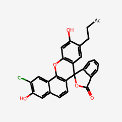 CC(=O)CCc1cc2c(cc1O)Oc1c(ccc3cc(O)c(Cl)cc13)C21OC(=O)c2ccccc21